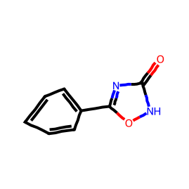 O=c1nc(-c2ccccc2)o[nH]1